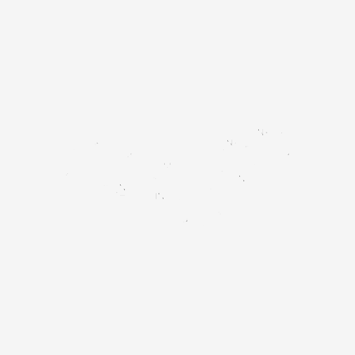 Nc1ncccc1NCc1cc(NC(=O)c2cc3ccccc3[nH]2)ccc1F